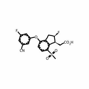 CS(=O)(=O)c1ccc(Oc2cc(F)cc(C#N)c2)c2c1[C@H](CC(=O)O)[C@H](F)C2